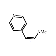 CN/C=C\c1ccncc1